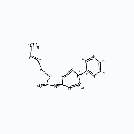 CC=CCSC(=O)N=c1ccn(-c2ccccc2)nc1